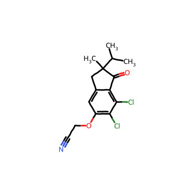 CC(C)C1(C)Cc2cc(OCC#N)c(Cl)c(Cl)c2C1=O